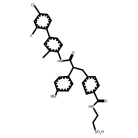 Cc1cc(-c2ccc(Cl)cc2F)ccc1NC(=O)C(Cc1ccc(C(=O)NCCS(=O)(=O)O)cc1)c1ccc(C(C)(C)C)cc1